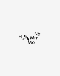 [Mn].[Nb].[SiH3][Mo]